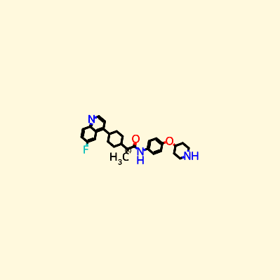 C[C@@H](C(=O)Nc1ccc(OC2CCNCC2)cc1)C1CCC(c2ccnc3ccc(F)cc23)CC1